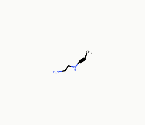 CC#CNCCN